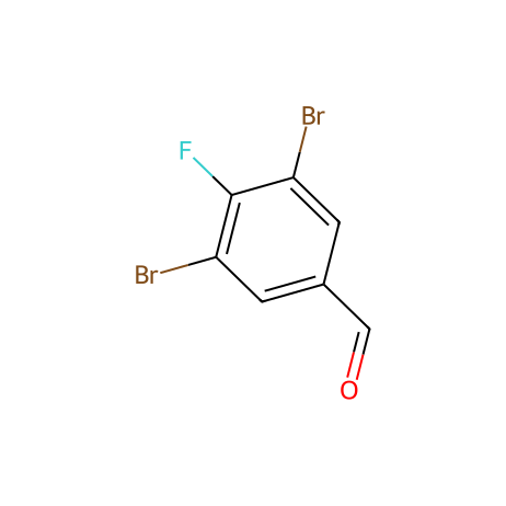 O=Cc1cc(Br)c(F)c(Br)c1